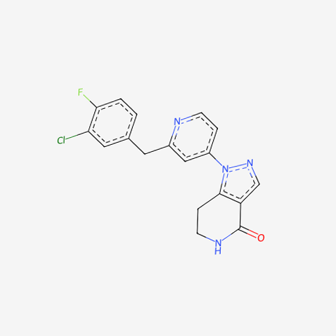 O=C1NCCc2c1cnn2-c1ccnc(Cc2ccc(F)c(Cl)c2)c1